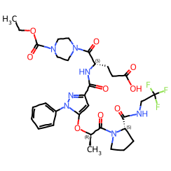 CCOC(=O)N1CCN(C(=O)[C@H](CCC(=O)O)NC(=O)c2cc(O[C@H](C)C(=O)N3CCC[C@H]3C(=O)NCC(F)(F)F)n(-c3ccccc3)n2)CC1